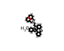 Cc1ccc(CC2(C(=O)OCCN(Cc3ccccc3)Cc3ccccc3)c3ccccc3Oc3ccccc32)cc1